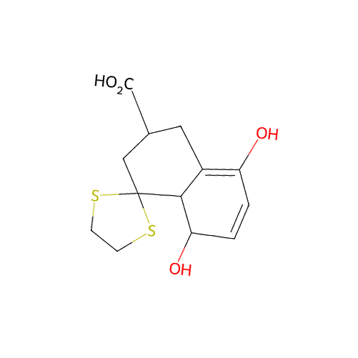 O=C(O)C1CC2=C(O)C=CC(O)C2C2(C1)SCCS2